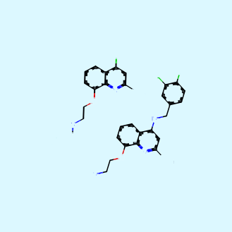 Cc1cc(Cl)c2cccc(OCCNC(=O)O)c2n1.Cc1cc(NCc2ccc(Cl)c(Cl)c2)c2cccc(OCCN)c2n1.Cl.Cl